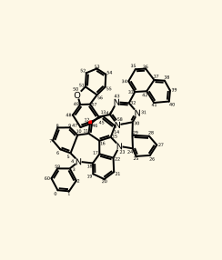 c1ccc(-n2c3ccccc3c3cccc4c3c3c2cccc3n4-c2ccccc2-c2nc(-c3cccc4ccccc34)nc(-c3cccc4oc5ccccc5c34)n2)cc1